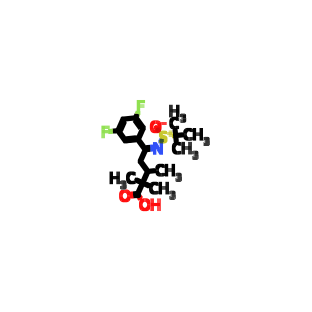 CC(CC(=N[S+]([O-])C(C)(C)C)c1cc(F)cc(F)c1)C(C)(C)C(=O)O